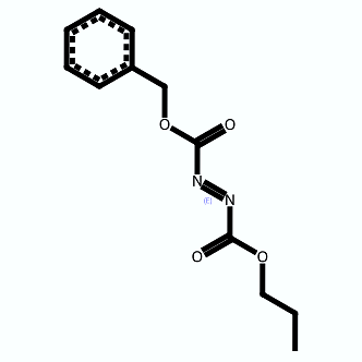 CCCOC(=O)/N=N/C(=O)OCc1ccccc1